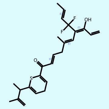 C=C/C(O)=C(\C=C(/C)C/C=C/C(=O)C1=CCC=C(C(C)C(=C)C)S1)C(F)(F)/C=C/C